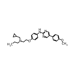 CCCN(CCOc1ccc(Nc2ncc(-c3ccc(OC)cc3)cn2)cc1)CC1CC1